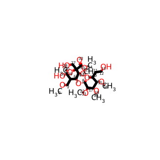 COCC(CO)C(O[C@@H]1OC(CCO)[C@H](OC)[C@@H](OC)C1OC)C(OC)C(CO)(OC)C(=O)OC